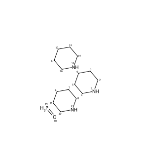 C1CCNCC1.C1CCNCC1.C1CCNCC1.O=[PH3]